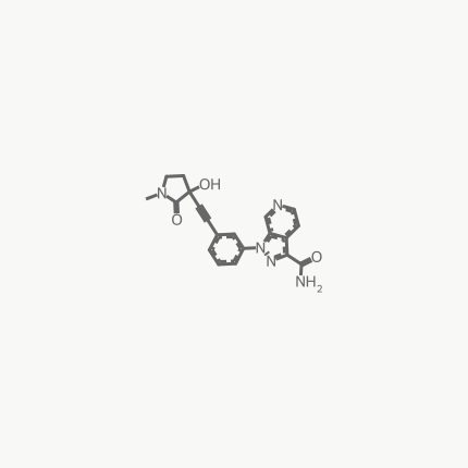 CN1CCC(O)(C#Cc2cccc(-n3nc(C(N)=O)c4ccncc43)c2)C1=O